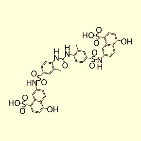 Cc1cc(S(=O)(=O)Nc2ccc3c(O)ccc(S(=O)(=O)O)c3c2)ccc1NC(=O)Nc1ccc(S(=O)(=O)Nc2ccc3c(O)ccc(S(=O)(=O)O)c3c2)cc1C